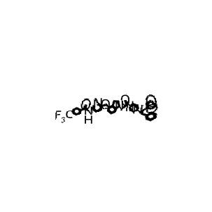 O=C(Nc1ccc(Oc2cccc3c2CCN3CC(=O)N2CCN(C(Cc3ccccc3)C3=COCO3)CC2)nc1)c1ccc(C(F)(F)F)cc1